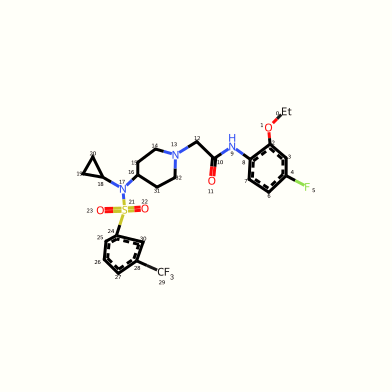 CCOc1cc(F)ccc1NC(=O)CN1CCC(N(C2CC2)S(=O)(=O)c2cccc(C(F)(F)F)c2)CC1